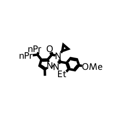 CCCC(CCC)c1cc(C)n2nc(-c3ccc(OC)cc3CC)n(C3CC3)c(=O)c12